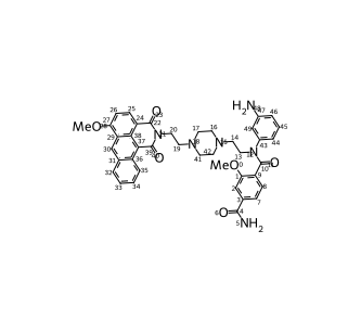 COc1cc(C(N)=O)ccc1C(=O)N(CCN1CCN(CCN2C(=O)c3ccc(OC)c4cc5ccccc5c(c34)C2=O)CC1)c1cccc(N)c1